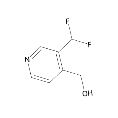 OCc1ccncc1C(F)F